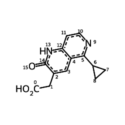 O=C(O)Cc1cc2c(C3CC3)nccc2[nH]c1=O